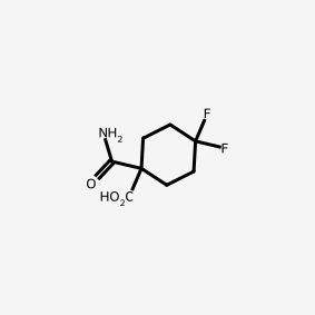 NC(=O)C1(C(=O)O)CCC(F)(F)CC1